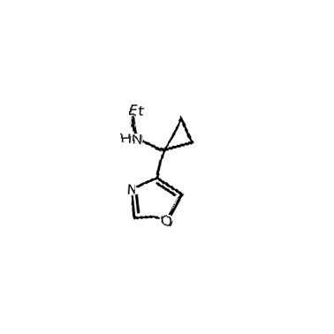 CCNC1(c2cocn2)CC1